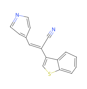 N#CC(=Cc1ccncc1)c1csc2ccccc12